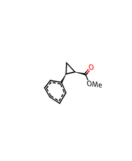 COC(=O)[C@@H]1C[C@@H]1c1ccccc1